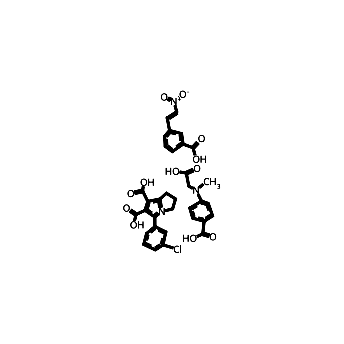 CN(CC(=O)O)c1ccc(C(=O)O)cc1.O=C(O)c1c(C(=O)O)c(-c2cccc(Cl)c2)n2c1CCC2.O=C(O)c1cccc(C=C[N+](=O)[O-])c1